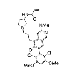 C=CC(=O)NC1CCN(CCCn2c(=O)c(-c3c(Cl)c(OC)cc(OC)c3Cl)cc3cnc(NC)cc32)C1